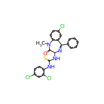 CN1C(=O)C(NC(=S)Nc2ccc(Cl)cc2Cl)N=C(c2ccccc2)c2cc(Cl)ccc21